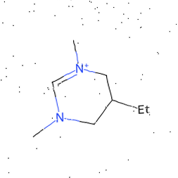 CCC1CN(C)C=[N+](C)C1